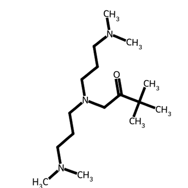 CN(C)CCCN(CCCN(C)C)CC(=O)C(C)(C)C